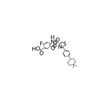 COc1cc(C(=O)O)c(F)cc1NS(=O)(=O)c1csc(-c2ccc(C3CCC(C)(C)CC3)cc2)n1